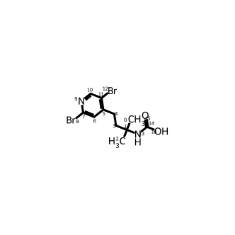 CC(C)(CCc1cc(Br)ncc1Br)NC(=O)O